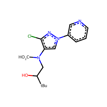 CC(C)(C)C(O)CN(C(=O)O)c1cn(-c2cccnc2)nc1Cl